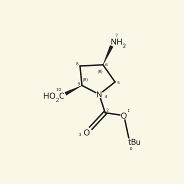 CC(C)(C)OC(=O)N1C[C@H](N)C[C@@H]1C(=O)O